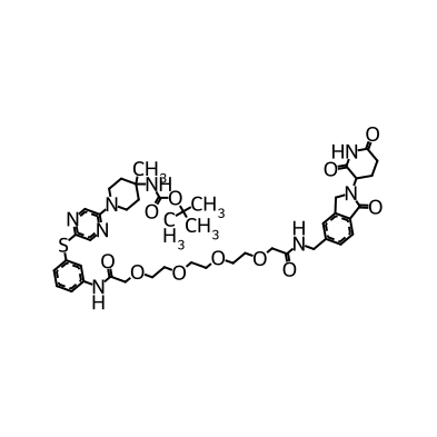 CC1(NC(=O)OC(C)(C)C)CCN(c2cnc(Sc3cccc(NC(=O)COCCOCCOCCOCC(=O)NCc4ccc5c(c4)CN(C4CCC(=O)NC4=O)C5=O)c3)cn2)CC1